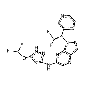 FC(F)Oc1cc(Nc2cnc3cnn([C@H](c4cccnc4)C(F)F)c3n2)n[nH]1